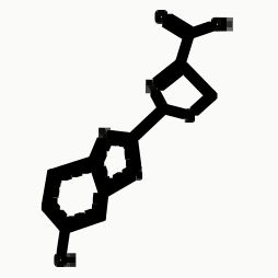 O=C(O)C1=NC(c2nc3ccc(O)cc3s2)SC1